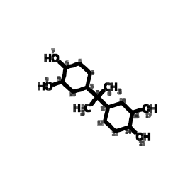 CC(C)(C1CCC(O)C(O)C1)C1CCC(O)C(O)C1